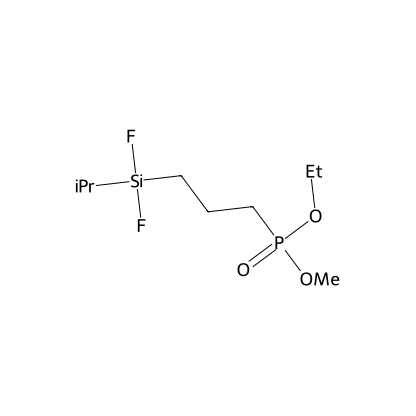 CCOP(=O)(CCC[Si](F)(F)C(C)C)OC